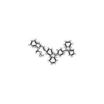 C=C(OO)[n+]1c(/C=C/c2ccc3c(c2)c2ccccc2n3-c2ccc(-n3c4ccccc4c4ccccc43)cc2)sc2ccccc21